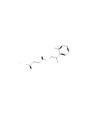 [CH2]c1ccccc1C(C)[CH]OC(=O)CCC(=O)OC